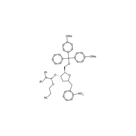 COc1ccc(C(OC[C@H]2OC(Cc3ccccc3[N+](=O)[O-])C[C@@H]2OP(OCCC#N)N(C(C)C)C(C)C)(c2ccccc2)c2ccc(OC)cc2)cc1